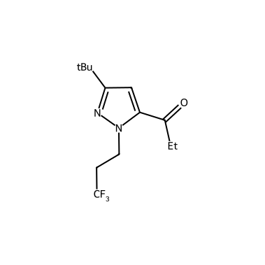 CCC(=O)c1cc(C(C)(C)C)nn1CCC(F)(F)F